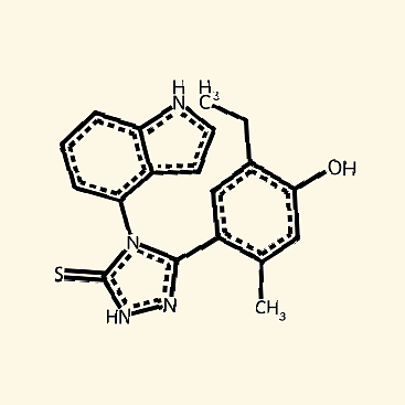 CCc1cc(-c2n[nH]c(=S)n2-c2cccc3[nH]ccc23)c(C)cc1O